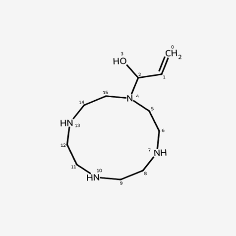 C=CC(O)N1CCNCCNCCNCC1